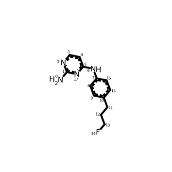 Nc1nccc(Nc2ccc(CCCF)cc2)n1